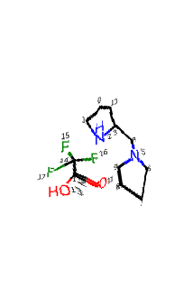 C1CNC(CN2CCCC2)C1.O=C(O)C(F)(F)F